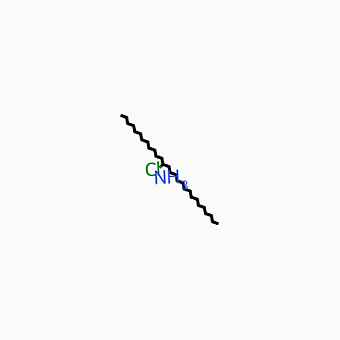 CCCCCCCCCCCCCCCC(Cl)CCCCCCCCCCCC.N